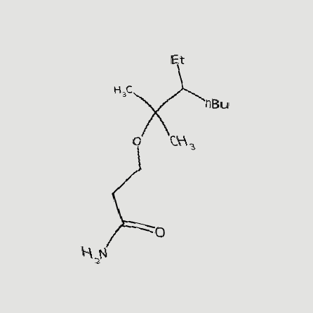 CCCCC(CC)C(C)(C)OCCC(N)=O